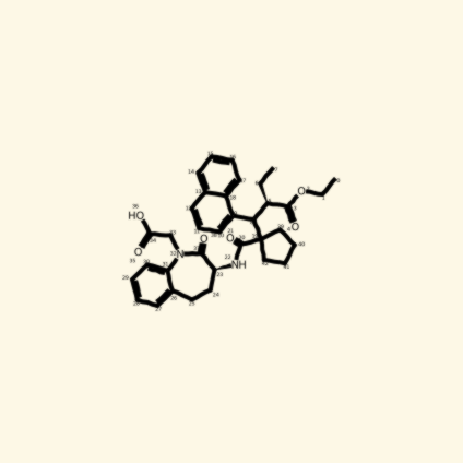 CCOC(=O)[C@H](CC)C(c1cccc2ccccc12)C1(C(=O)N[C@H]2CCc3ccccc3N(CC(=O)O)C2=O)CCCC1